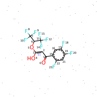 O=C(/C=C(\O)OC(C(F)(F)F)C(F)(F)F)c1cc(F)c(F)cc1F